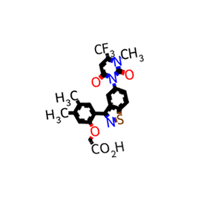 Cc1cc(OCC(=O)O)c(-c2nsc3ccc(-n4c(=O)cc(C(F)(F)F)n(C)c4=O)cc23)cc1C